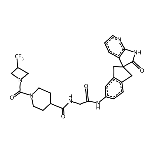 O=C(CNC(=O)C1CCN(C(=O)N2CC(C(F)(F)F)C2)CC1)Nc1ccc2c(c1)CC1(C2)C(=O)Nc2ncccc21